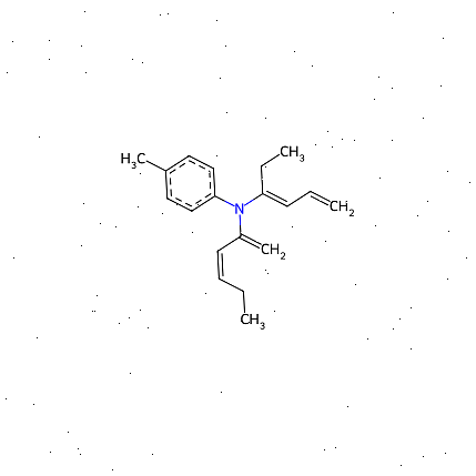 C=C/C=C(\CC)N(C(=C)/C=C\CC)c1ccc(C)cc1